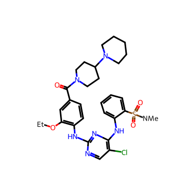 CCOc1cc(C(=O)N2CCC(N3CCCCC3)CC2)ccc1Nc1ncc(Cl)c(Nc2ccccc2S(=O)(=O)NC)n1